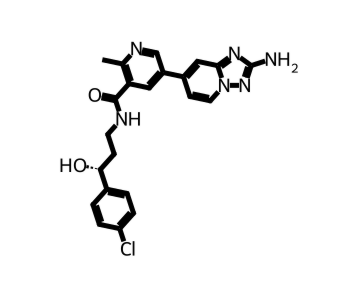 Cc1ncc(-c2ccn3nc(N)nc3c2)cc1C(=O)NCC[C@@H](O)c1ccc(Cl)cc1